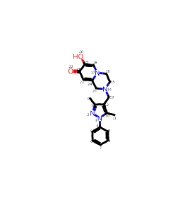 Cc1nn(-c2ccccc2)c(C)c1CN1CCn2cc(O)c(=O)cc2C1